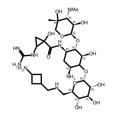 CN[C@@H]1[C@@H](O)[C@@H](O[C@H]2[C@H](NC(=O)C3(O)CC3NC(=N)N)C[C@H](N)C(O[C@H]3O[C@H](CNCC4CC(N)C4)[C@@H](O)[C@H](O)[C@H]3O)[C@@H]2O)OC[C@]1(C)O